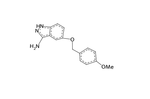 COc1ccc(COc2ccc3[nH]nc(N)c3c2)cc1